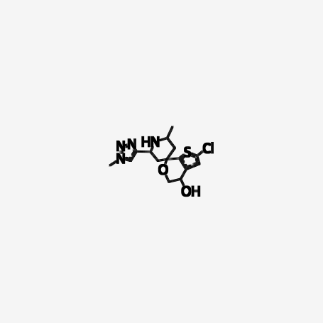 CC1CC2(CC(c3cn(C)nn3)N1)OCC(O)c1cc(Cl)sc12